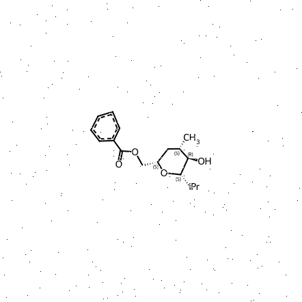 CC(C)[C@@H]1O[C@H](COC(=O)c2ccccc2)C[C@H](C)[C@H]1O